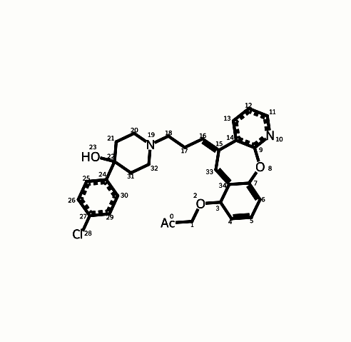 CC(=O)COC1C=CC=C2Oc3ncccc3C(=CCCN3CCC(O)(c4ccc(Cl)cc4)CC3)C=C21